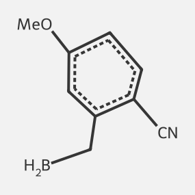 BCc1cc(OC)ccc1C#N